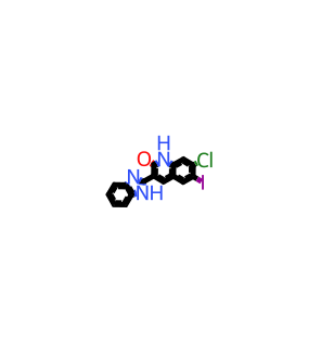 O=c1[nH]c2cc(Cl)c(I)cc2cc1-c1nc2ccccc2[nH]1